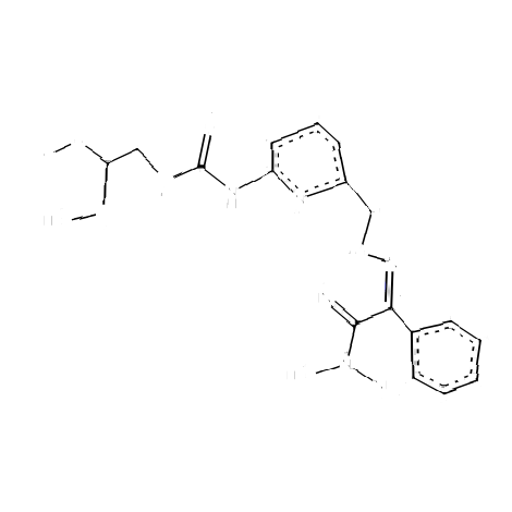 COC(COC(=O)Nc1cccc(CO/N=C(\C(=N)N(C)N)c2ccccc2)n1)OC